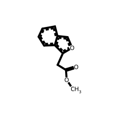 COC(=O)Cc1occ2ccccc12